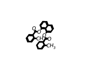 CC1=CCCCC1C(=O)Oc1cccc2cccc(OC(=O)c3ccccc3C)c12